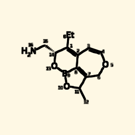 CCC1=C2C=COCC3=C2B(OC3C)O[C@@H]1CN